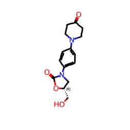 O=C1CCN(c2ccc(N3C[C@H](CO)OC3=O)cc2)CC1